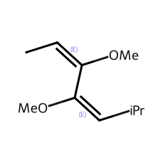 C/C=C(OC)\C(=C/C(C)C)OC